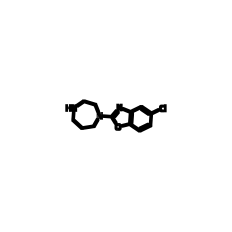 Clc1ccc2oc(N3CCCNCC3)nc2c1